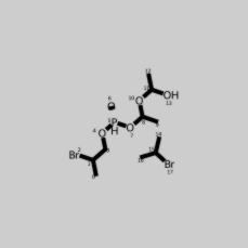 CC(Br)CO[PH](=O)OC(C)OC(C)O.CC(C)Br